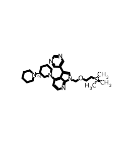 C[Si](C)(C)CCOCn1cc(-c2cncnc2)c2c(N3CCC[C@H](N4CCCCC4)C3)ccnc21